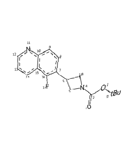 CC(C)(C)OC(=O)N1CC(c2ccc3ncccc3c2F)C1